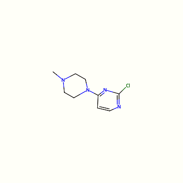 CN1CCN(c2ccnc(Cl)n2)CC1